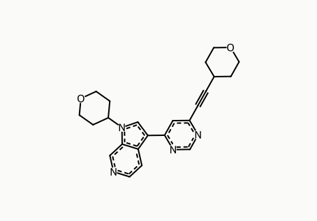 C(#CC1CCOCC1)c1cc(-c2cn(C3CCOCC3)c3cnccc23)ncn1